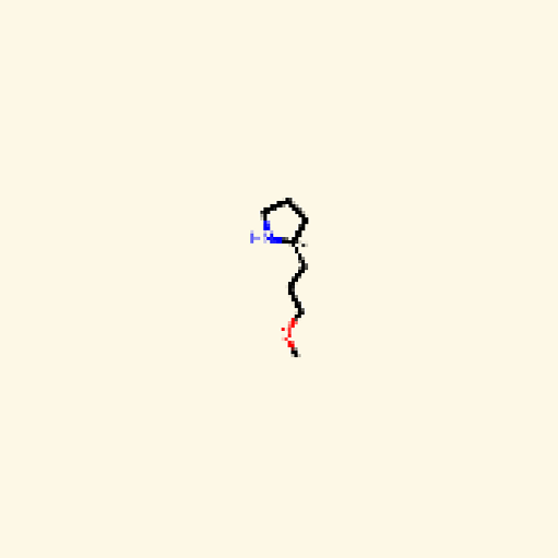 COCCC[C@@H]1CCCN1